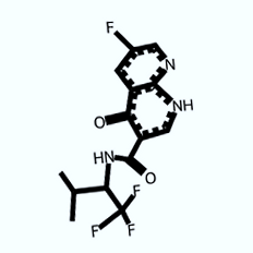 CC(C)C(NC(=O)c1c[nH]c2ncc(F)cc2c1=O)C(F)(F)F